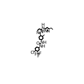 CCc1cc(Nc2ccnc(-c3ccc(NC(=O)Nc4ccc(Cl)c(C(F)(F)F)c4)cc3C)n2)[nH]n1